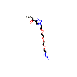 COC(=O)c1cn(CCOCCOCCOCCN=[N+]=[N-])nn1